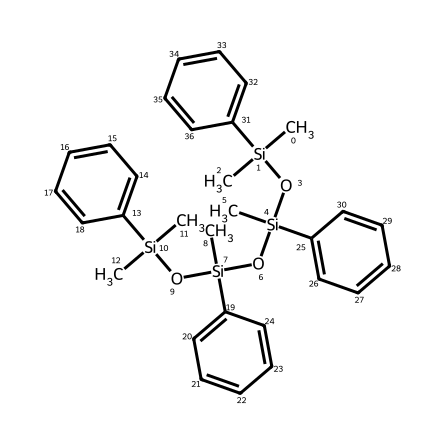 C[Si](C)(O[Si](C)(O[Si](C)(O[Si](C)(C)c1ccccc1)c1ccccc1)c1ccccc1)c1ccccc1